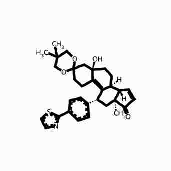 CC1(C)COC2(CCC3=C4[C@@H](CC[C@@]3(O)C2)[C@@H]2C=CC(=O)[C@@]2(C)C[C@@H]4c2ccc(-c3nccs3)cc2)OC1